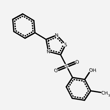 Cc1cccc(S(=O)(=O)c2nc(-c3ccccc3)ns2)c1O